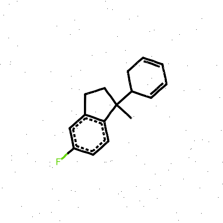 CC1(C2C=CC=CC2)CCc2cc(F)ccc21